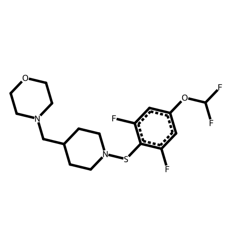 Fc1cc(OC(F)F)cc(F)c1SN1CCC(CN2CCOCC2)CC1